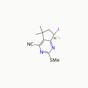 CSc1nc(C#N)c2c(n1)[C@](C)(I)CC2(C)C